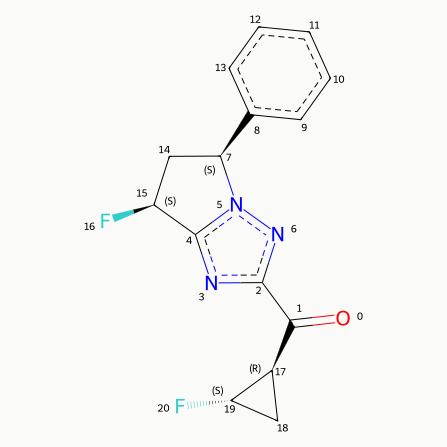 O=C(c1nc2n(n1)[C@H](c1ccccc1)C[C@@H]2F)[C@H]1C[C@@H]1F